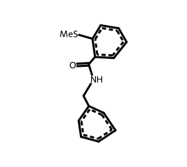 CSc1ccccc1C(=O)NCc1ccccc1